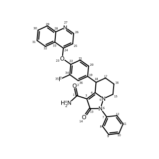 NC(=O)c1c2n(n(-c3ccccc3)c1=O)CCCC2c1ccc(Oc2ccnc3ccccc23)c(F)c1